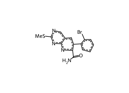 CSc1ncc2cc(-c3ccccc3Br)c(C(N)=O)nc2n1